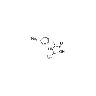 CC(=O)NC(Cc1ccc(C#N)cc1)C(=O)O